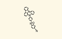 N#Cc1ccc2nc(-c3ccc(N4c5ccccc5-n5c6ccccc6c6cccc4c65)cc3)oc2c1